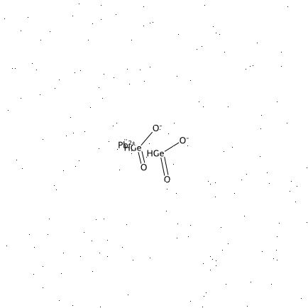 [O]=[GeH][O-].[O]=[GeH][O-].[Pb+2]